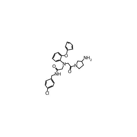 NC1CCN(C(=O)CN(CC(=O)NCc2ccc(Cl)cc2)c2ccccc2Oc2ccccc2)C1